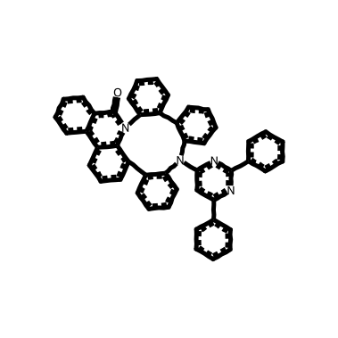 O=c1c2ccccc2c2cccc3c2n1-c1ccccc1-c1ccccc1N(c1cc(-c2ccccc2)nc(-c2ccccc2)n1)c1ccccc1-3